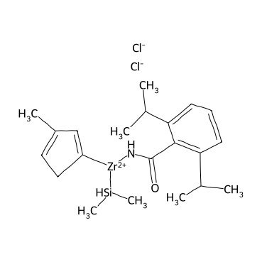 CC1=CC[C]([Zr+2]([NH]C(=O)c2c(C(C)C)cccc2C(C)C)[SiH](C)C)=C1.[Cl-].[Cl-]